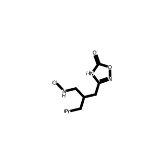 CC(C)CC(CNCl)Cc1noc(=O)[nH]1